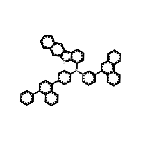 c1ccc(-c2ccc(-c3ccc(N(c4cccc(-c5cc6ccccc6c6ccccc56)c4)c4cccc5c4sc4cc6ccccc6cc45)cc3)c3ccccc23)cc1